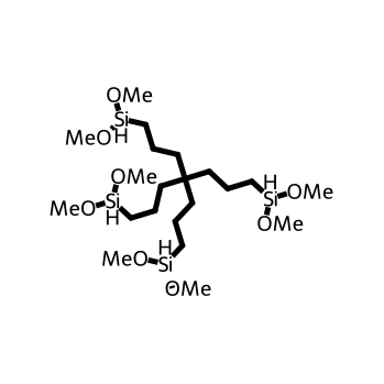 CO[SiH](CCCC(CCC[SiH](OC)OC)(CCC[SiH](OC)OC)CCC[SiH](OC)OC)OC